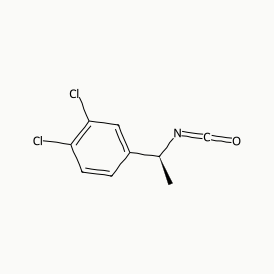 C[C@H](N=C=O)c1ccc(Cl)c(Cl)c1